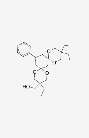 CCC1(CC)COC2(CC(c3ccccc3)CC3(C2)OCC(CC)(CO)CO3)OC1